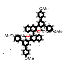 COCOc1c(-c2cc(-c3ccc(OC)cc3)cc(-c3ccc(OC)cc3)c2)cc2ccccc2c1-c1c(OCOC)c(-c2cc(-c3ccc(OC)cc3)cc(-c3ccc(OC)cc3)c2)cc2ccccc12